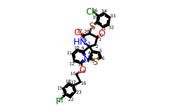 O=C1CC(c2ccsc2)(c2cccc(OCCc3ccc(F)cc3)n2)NC(=O)C1Sc1ccccc1Cl